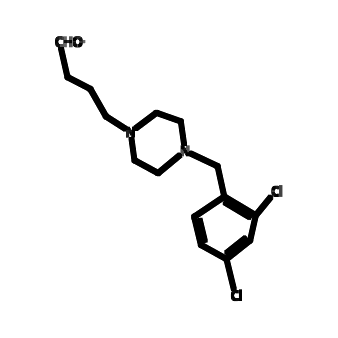 O=[C]CCCN1CCN(Cc2ccc(Cl)cc2Cl)CC1